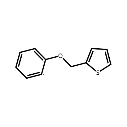 [c]1ccccc1OCc1cccs1